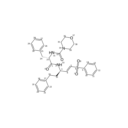 O=C(N[C@@H](/C=C/S(=O)(=O)c1ccccc1)CCc1ccccc1)[C@H](Cc1ccccc1)NC(=O)N1CCOCC1